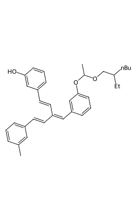 CCCCC(CC)COC(C)Oc1cccc(C=C(C=Cc2cccc(C)c2)C=Cc2cccc(O)c2)c1